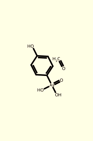 C=O.O=[As](O)(O)c1ccc(O)cc1